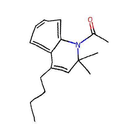 CCCCC1=CC(C)(C)N(C(C)=O)c2ccccc21